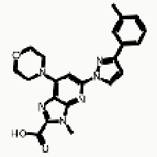 Cc1cccc(-c2ccn(-c3cc(N4CCOCC4)c4nc(C(=O)O)n(C)c4n3)n2)c1